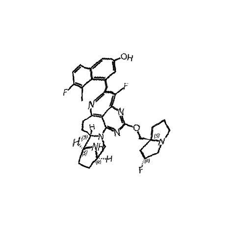 Cc1c(F)ccc2cc(O)cc(-c3nc4c5c(nc(OC[C@@]67CCCN6C[C@H](F)C7)nc5c3F)N3C[C@H]5CC[C@H](N5)[C@@H]3CC4)c12